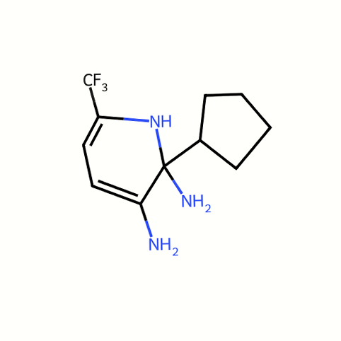 NC1=CC=C(C(F)(F)F)NC1(N)C1CCCC1